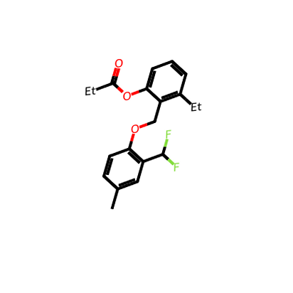 CCC(=O)Oc1cccc(CC)c1COc1ccc(C)cc1C(F)F